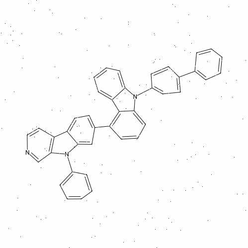 c1ccc(-c2ccc(-n3c4ccccc4c4c(-c5ccc6c7ccncc7n(-c7ccccc7)c6c5)cccc43)cc2)cc1